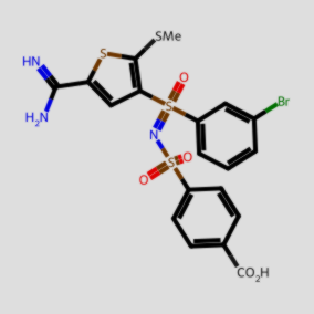 CSc1sc(C(=N)N)cc1S(=O)(=NS(=O)(=O)c1ccc(C(=O)O)cc1)c1cccc(Br)c1